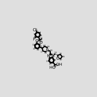 CC1(c2ccc(Cl)cc2F)Oc2cccc(C3CCN(Cc4nc5ccc(C(O)O)cc5n4C[C@@H]4CCCO4)CC3)c2O1